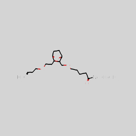 C=CCCOCCC1C2CCC(O2)C1COCCCCC(=O)N(C)O